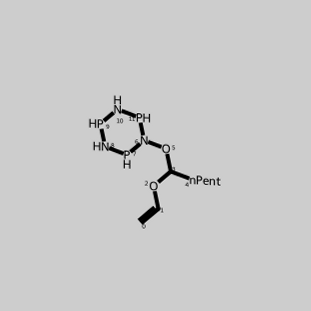 C=COC(CCCCC)ON1PNPNP1